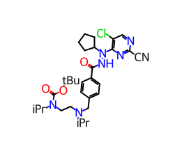 CC(C)N(CCN(C(=O)OC(C)(C)C)C(C)C)Cc1ccc(C(=O)NN(c2nc(C#N)ncc2Cl)C2CCCC2)cc1